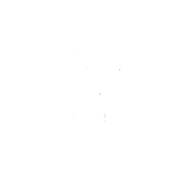 CC1=C(C)[C](C)([In+2])C(C)=C1C